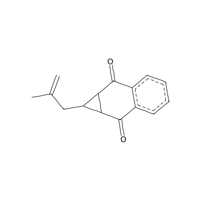 C=C(C)CC1C2C(=O)c3ccccc3C(=O)C12